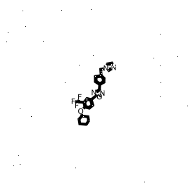 FC(F)(F)c1cc(-c2nc(-c3ccc(Cn4ccnc4)cc3)no2)ccc1OC1CCCCC1